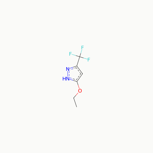 CCOc1cc(C(F)(F)F)n[nH]1